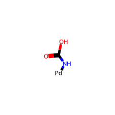 O=C(O)[NH][Pd]